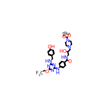 CC(C)(C)OC(=O)N1CCN(CC(O)CNC(=O)c2ccc(Nc3nc(NCc4ccc(O)cc4)nc(OCC(F)(F)F)n3)cc2)CC1